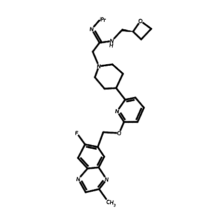 Cc1cnc2cc(F)c(COc3cccc(C4CCN(C/C(=N/C(C)C)NC[C@@H]5CCO5)CC4)n3)cc2n1